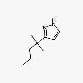 CCCC(C)(C)c1cc[nH]n1